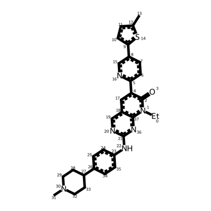 CCn1c(=O)c(-c2ccc(-c3ccc(C)s3)cn2)cc2cnc(Nc3ccc(C4CCN(C)CC4)cc3)nc21